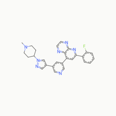 CN1CCC(n2cc(-c3cncc(-c4cc(-c5ccccc5F)nc5nccnc45)c3)cn2)CC1